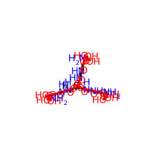 CC(COCCC(=O)NCCCNC(=O)CCCCOC1OC(CO)C(O)C(O)C1N)(COCCC(=O)NCCCNC(=O)CCCCOC1OC(CO)C(O)C(O)C1N)COCCC(=O)NCCCNC(=O)CCCCOC1OC(CO)C(O)C(O)C1N